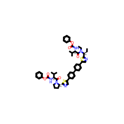 CC[C@@H](c1ncc(-c2ccc(-c3ccc(-c4cnc([C@@H]5CCCN5C(=O)[C@@H](NC(=O)Oc5ccccc5)C(C)C)s4)cc3)cc2)s1)N(CC)C(=O)[C@@H](NC(=O)Oc1ccccc1)C(C)C